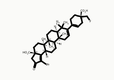 CC(C)C1=C2[C@H]3CC[C@@H]4[C@@]5(C)CC=C(C6=CC[C@](CF)(C(=O)O)CC6)C(C)(C)[C@@H]5CC[C@@]4(C)[C@]3(C)CC[C@@]2(C(=O)O)CC1=O